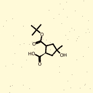 CC1(O)CC(C(=O)OC(C)(C)C)[C@H](C(=O)O)C1